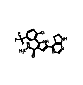 CNC(=O)c1cc(-c2ncnc3c2CCN3)[nH]c1-c1cc(C(F)(F)F)ccc1Cl